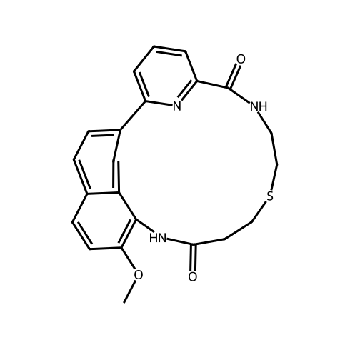 COc1ccc2ccc3cc2c1NC(=O)CCSCCNC(=O)c1cccc-3n1